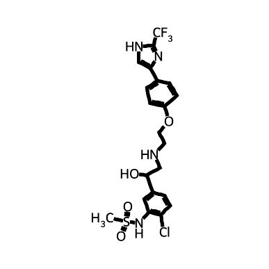 CS(=O)(=O)Nc1cc(C(O)CNCCOc2ccc(-c3c[nH]c(C(F)(F)F)n3)cc2)ccc1Cl